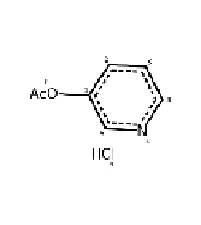 CC(=O)Oc1cccnc1.Cl